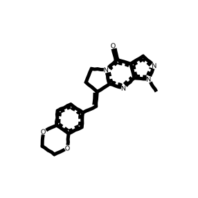 Cn1ncc2c(=O)n3c(nc21)/C(=C/c1ccc2c(c1)OCCO2)CC3